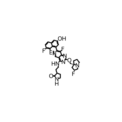 CCc1c(F)ccc2cc(O)cc(-c3ncc4c(NCCC5CCNC5=O)nc(OC[C@@]56CCCN5C[C@H](F)C6)nc4c3F)c12